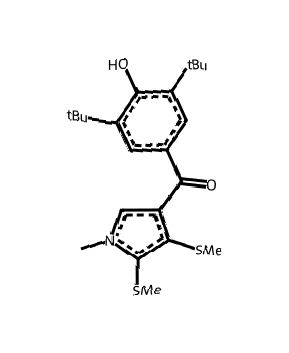 CSc1c(C(=O)c2cc(C(C)(C)C)c(O)c(C(C)(C)C)c2)cn(C)c1SC